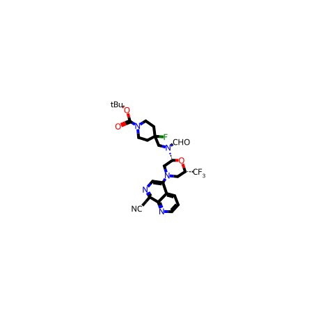 CC(C)(C)OC(=O)N1CCC(F)(CN(C=O)[C@H]2CN(c3cnc(C#N)c4ncccc34)C[C@@H](C(F)(F)F)O2)CC1